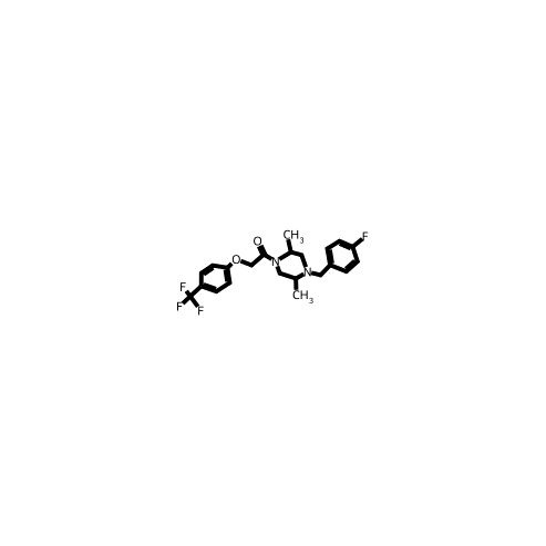 CC1CN(C(=O)COc2ccc(C(F)(F)F)cc2)C(C)CN1Cc1ccc(F)cc1